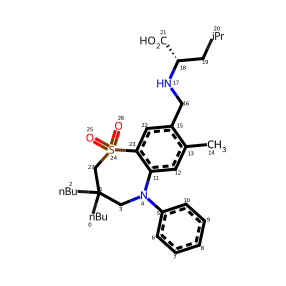 CCCCC1(CCCC)CN(c2ccccc2)c2cc(C)c(CN[C@@H](CC(C)C)C(=O)O)cc2S(=O)(=O)C1